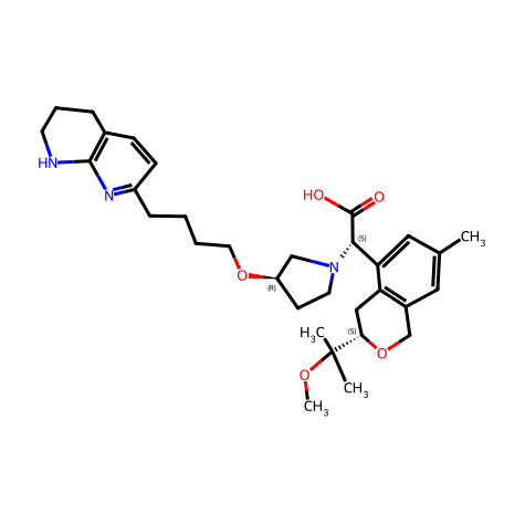 COC(C)(C)[C@@H]1Cc2c(cc(C)cc2[C@@H](C(=O)O)N2CC[C@@H](OCCCCc3ccc4c(n3)NCCC4)C2)CO1